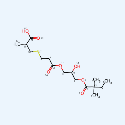 CCC(C)(C)C(=O)OCC(O)COC(=O)CCSCC(C)C(=O)O